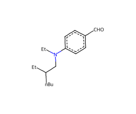 CCCCC(CC)CN(CC)c1ccc(C=O)cc1